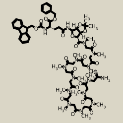 CN(CC(N)=O)C(=O)CN(C)C(=O)CN(C)C(=O)CN(C)C(=O)CN(C)C(=O)CN(C)C(=O)CN(C)C(=O)CN(C)C(=O)CN(C)C(=O)CN(C)C(=O)CN(C)C(=O)CN(C)C(=O)[C@H]1OC(NC(=O)CC[C@H](NC(=O)OCC2c3ccccc3-c3ccccc32)C(=O)OCc2ccccc2)[C@@H]2OC(C)(C)O[C@H]12